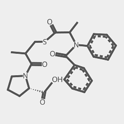 CC(CSC(=O)C(C)N(C(=O)c1ccccc1)c1ccccc1)C(=O)N1CCC[C@H]1C(=O)O